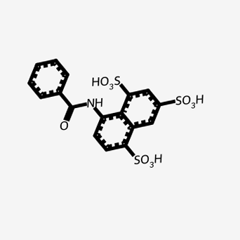 O=C(Nc1ccc(S(=O)(=O)O)c2cc(S(=O)(=O)O)cc(S(=O)(=O)O)c12)c1ccccc1